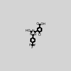 O=C(O)c1ccc(Cl)c(-c2nc(O)nc(-c3ccc(C(F)(F)F)cc3)n2)c1